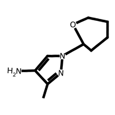 Cc1nn(C2CCCCO2)cc1N